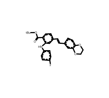 CC(C)(C)OC(=O)c1ccc(/C=C/c2ccc3c(c2)OCCO3)cc1Nc1ccc(F)cc1